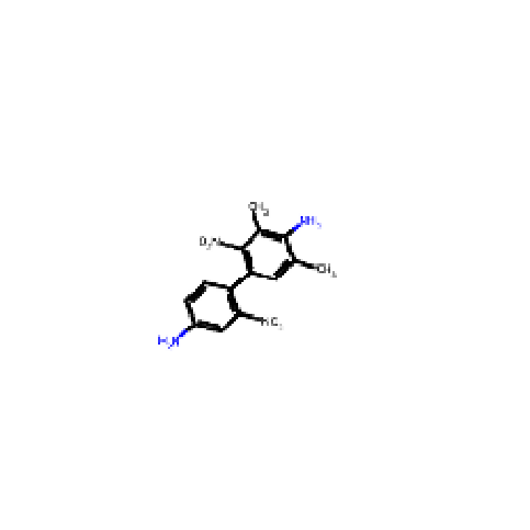 Cc1cc(-c2ccc(N)cc2[N+](=O)[O-])c([N+](=O)[O-])c(C)c1N